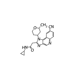 CC1CC(n2c(CC(=O)NC3CC3)nc3cnc4ccc(C#N)cc4c32)CCO1